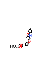 Cc1ccc(-c2nc(CCOc3ccc(C[C@H]4CO[C@](C)(C(=O)O)OC4)cc3)c(C)o2)cc1